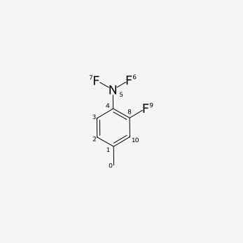 Cc1ccc(N(F)F)c(F)c1